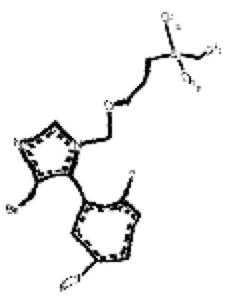 C[Si](C)(C)CCOCn1cnc(Br)c1-c1cc(Cl)ccc1F